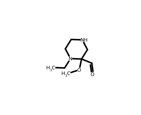 CCN1CCNCC1(C=O)OC